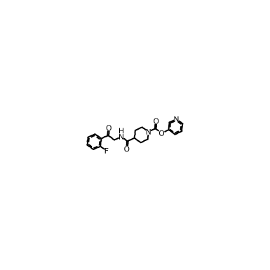 O=C(CNC(=O)C1CCN(C(=O)Oc2cccnc2)CC1)c1ccccc1F